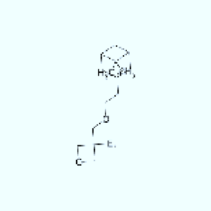 CCC1(COCCC2=CC3CC(C2)C3(C)C)COC1